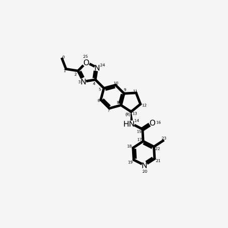 CCc1nc(-c2ccc3c(c2)CC[C@H]3NC(=O)c2ccncc2C)no1